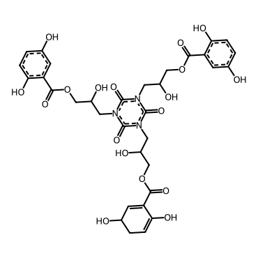 O=C(OCC(O)Cn1c(=O)n(CC(O)COC(=O)c2cc(O)ccc2O)c(=O)n(CC(O)COC(=O)c2cc(O)ccc2O)c1=O)C1=CC(O)CC=C1O